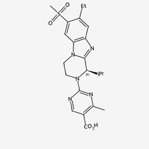 CCc1cc2nc3n(c2cc1S(C)(=O)=O)CCN(c1ncc(C(=O)O)c(C)n1)[C@@H]3C(C)C